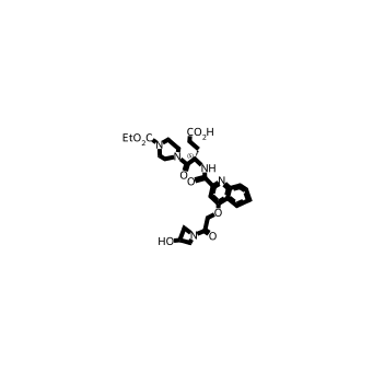 CCOC(=O)N1CCN(C(=O)[C@H](CCC(=O)O)NC(=O)c2cc(OCC(=O)N3CC(O)C3)c3ccccc3n2)CC1